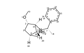 CO[C@H]1C[C@@H]2CN([C@@H](C)c3ccccc3)[C@H]1[C@@H]2N